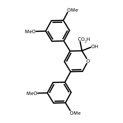 COc1cc(OC)cc(C2=COC(O)(C(=O)O)C(c3cc(OC)cc(OC)c3)=C2)c1